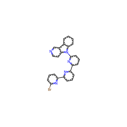 Brc1cccc(-c2cccc(-c3cccc(-n4c5ccccc5c5cnccc54)n3)n2)n1